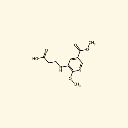 COC(=O)c1cnc(OC)c(NCCC(=O)O)c1